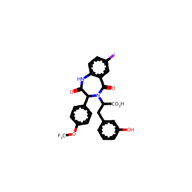 O=C(O)C(Cc1cccc(O)c1)N1C(=O)c2cc(I)ccc2NC(=O)C1c1ccc(OC(F)(F)F)cc1